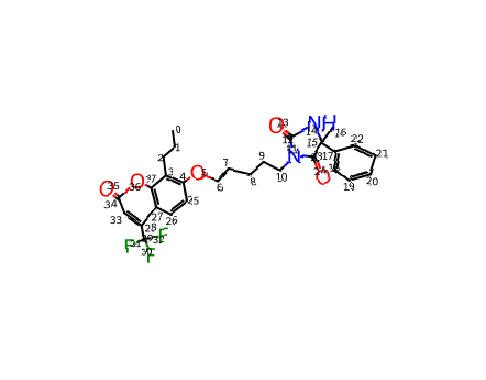 CCCc1c(OCCCCCN2C(=O)NC(C)(c3ccccc3)C2=O)ccc2c(C(F)(F)F)cc(=O)oc12